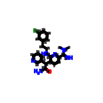 CN(C)C(=N)c1ccc(C(C(N)=O)c2cccnc2)c(NCCc2cccc(F)c2)n1